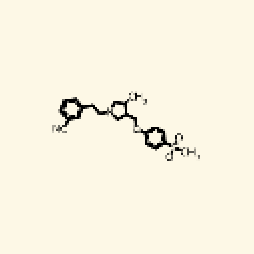 CC1CN(CCc2cccc(C#N)c2)CC1COc1ccc(S(C)(=O)=O)cc1